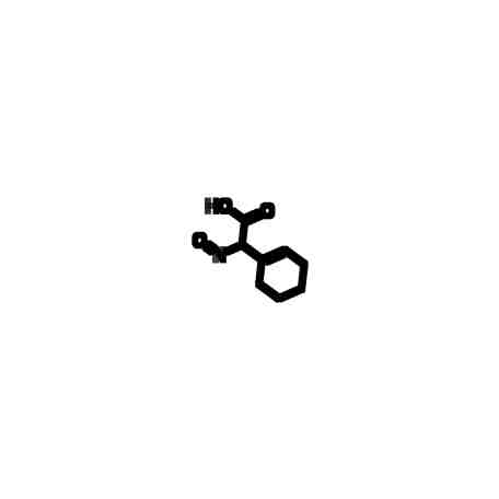 O=NC(C(=O)O)C1=CCCCC1